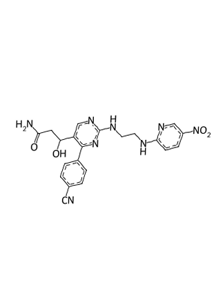 N#Cc1ccc(-c2nc(NCCNc3ccc([N+](=O)[O-])cn3)ncc2C(O)CC(N)=O)cc1